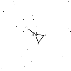 IN1CC1